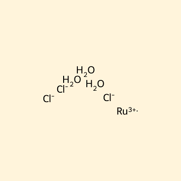 O.O.O.[Cl-].[Cl-].[Cl-].[Ru+3]